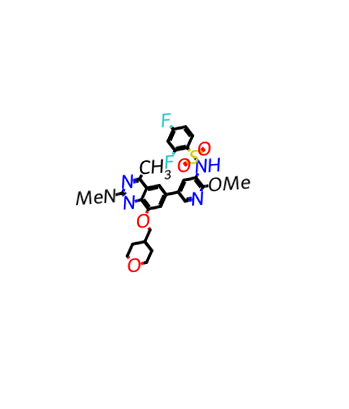 CNc1nc(C)c2cc(-c3cnc(OC)c(NS(=O)(=O)c4ccc(F)cc4F)c3)cc(OCC3CCOCC3)c2n1